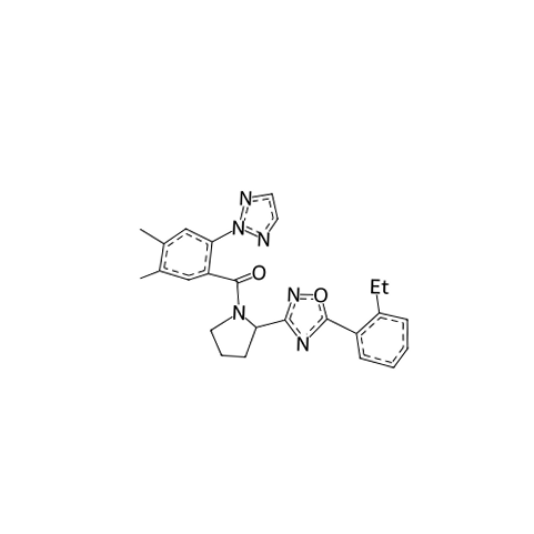 CCc1ccccc1-c1nc(C2CCCN2C(=O)c2cc(C)c(C)cc2-n2nccn2)no1